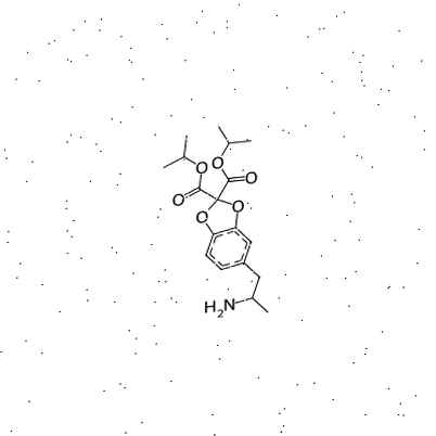 CC(N)Cc1ccc2c(c1)OC(C(=O)OC(C)C)(C(=O)OC(C)C)O2